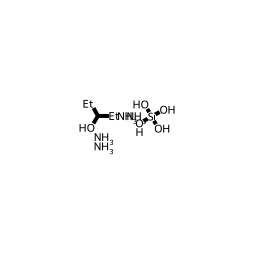 CCC(O)CC.N.N.N.N.O[Si](O)(O)O